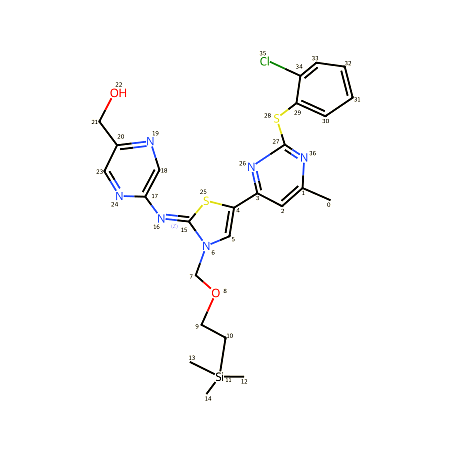 Cc1cc(-c2cn(COCC[Si](C)(C)C)/c(=N/c3cnc(CO)cn3)s2)nc(Sc2ccccc2Cl)n1